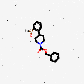 CC[S+]([O-])c1ccccc1C1CCN(C(=O)OCc2ccccc2)CC1